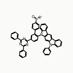 O=[N+]([O-])c1ccc(-c2cc(-c3nc(-c4ccccc4)nc(-c4ccccc4)n3)ccc2-n2c3ccccc3c3cc4c5ccccc5n(-c5ccccc5)c4cc32)cc1